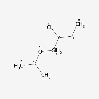 CCC(Cl)[SiH2]OC(C)C